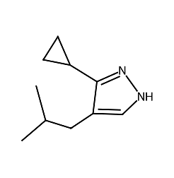 CC(C)Cc1c[nH]nc1C1CC1